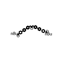 CCCCC(=O)C1CCC(c2ccc(-c3ccc(CC(=O)Cc4ccc(-c5ccc([C@H]6CC[C@H](C(=O)CCCC)CC6)cc5)cc4)cc3)cc2)CC1